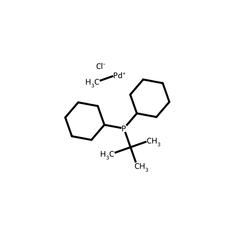 CC(C)(C)P(C1CCCCC1)C1CCCCC1.[CH3][Pd+].[Cl-]